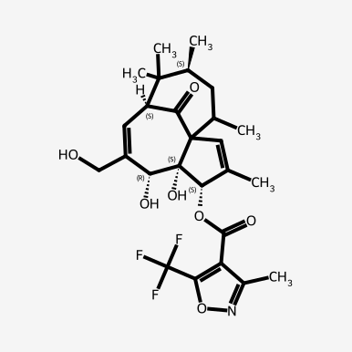 CC1=CC23C(=O)[C@@H](C=C(CO)[C@@H](O)[C@]2(O)[C@H]1OC(=O)c1c(C)noc1C(F)(F)F)C(C)(C)[C@@H](C)CC3C